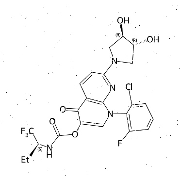 CC[C@H](NC(=O)Oc1cn(-c2c(F)cccc2Cl)c2nc(N3C[C@@H](O)[C@H](O)C3)ccc2c1=O)C(F)(F)F